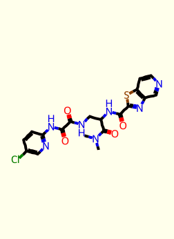 CN(C)C(=O)C(CNC(=O)C(=O)Nc1ccc(Cl)cn1)NC(=O)c1nc2cnccc2s1